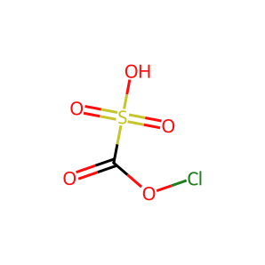 O=C(OCl)S(=O)(=O)O